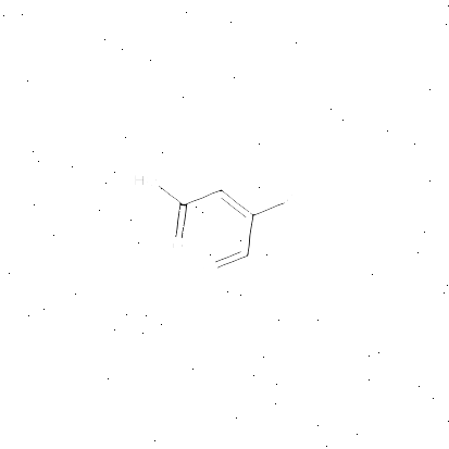 CC([C]=O)=CC(=O)O